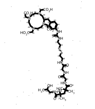 CCC(C)(CC(C)(C)C(=O)NCC(=O)NCC(=O)NCCSSCCNC(=S)Nc1ccc(CC2CN(CC(=O)O)CCN(CC(=O)O)CCN(CC(=O)O)CCN2CC(=O)O)cc1)C(=O)NCC(C)O